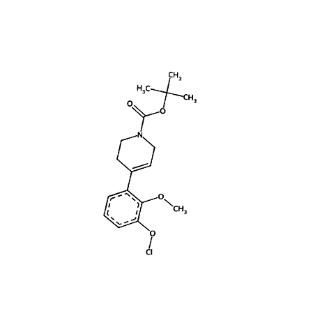 COc1c(OCl)cccc1C1=CCN(C(=O)OC(C)(C)C)CC1